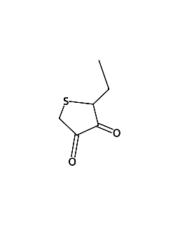 CCC1SCC(=O)C1=O